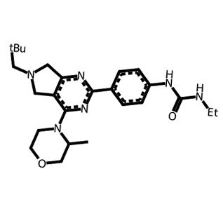 CCNC(=O)Nc1ccc(-c2nc3c(c(N4CCOCC4C)n2)CN(CC(C)(C)C)C3)cc1